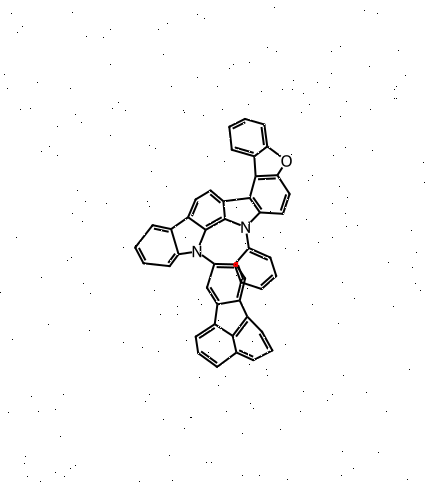 c1ccc(-n2c3ccc4oc5ccccc5c4c3c3ccc4c5ccccc5n(-c5ccc6c(c5)-c5cccc7cccc-6c57)c4c32)cc1